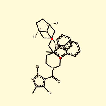 CCn1nc(C)c(Br)c1C(=O)N1CCC(CCN2[C@@H]3CC[C@H]2CC(n2c(C)nc4ccccc42)C3)(c2ccccc2)CC1